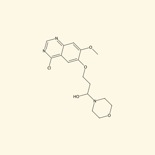 COc1cc2ncnc(Cl)c2cc1OCCC(O)N1CCOCC1